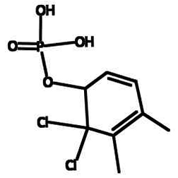 CC1=C(C)C(Cl)(Cl)C(OP(=O)(O)O)C=C1